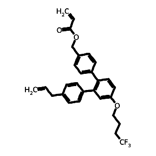 C=CCc1ccc(-c2cc(OCCCC(F)(F)F)ccc2-c2ccc(COC(=O)C=C)cc2)cc1